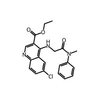 CCOC(=O)c1cnc2ccc(Cl)cc2c1NCC(=O)N(C)c1ccccc1